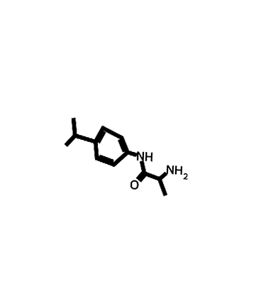 CC(N)C(=O)Nc1ccc(C(C)C)cc1